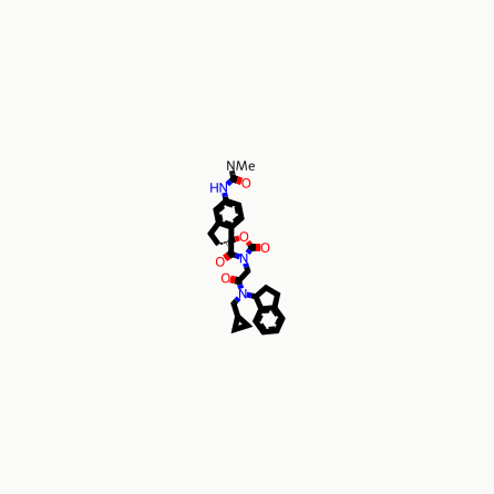 CNC(=O)Nc1ccc2c(c1)CC[C@@]21OC(=O)N(CC(=O)N(CC2CC2)C2CCc3ccccc32)C1=O